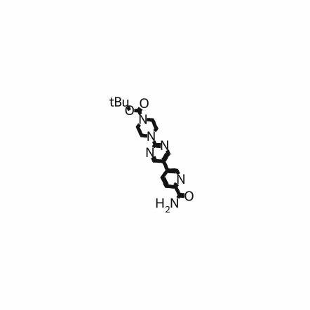 CC(C)(C)OC(=O)N1CCN(c2ncc(-c3ccc(C(N)=O)nc3)cn2)CC1